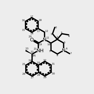 CCC1(CC)CN(C)CCC1N(Cc1ccccc1)C(=O)N[C@H](C)c1cccc2ccccc12